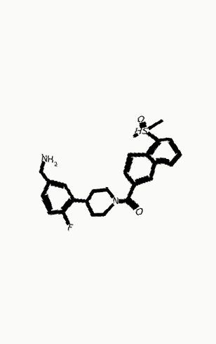 C[SH](C)(=O)c1cccc2cc(C(=O)N3CCC(c4cc(CN)ccc4F)CC3)ccc12